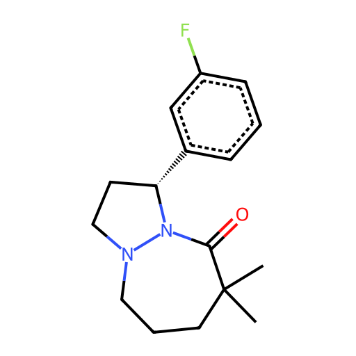 CC1(C)CCCN2CC[C@H](c3cccc(F)c3)N2C1=O